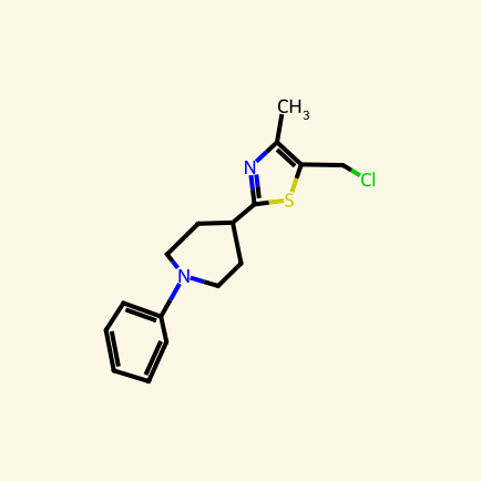 Cc1nc(C2CCN(c3ccccc3)CC2)sc1CCl